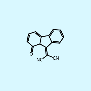 N#CC(C#N)=C1c2ccccc2C2=CC=CC(=O)C21